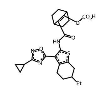 CCC1CCc2c(sc(NC(=O)C3=C(OC(=O)O)C4CCC3CC4)c2-c2nc(C3CC3)no2)C1